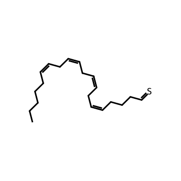 CCCCC/C=C\C/C=C\C/C=C\C/C=C\CCCC=S